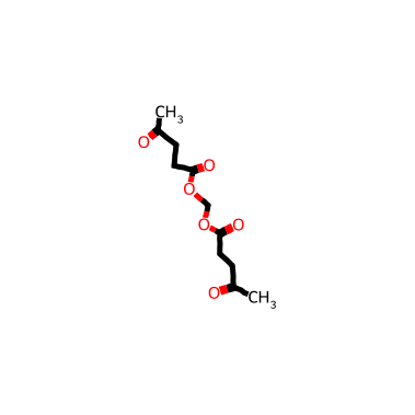 CC(=O)CCC(=O)OCOC(=O)CCC(C)=O